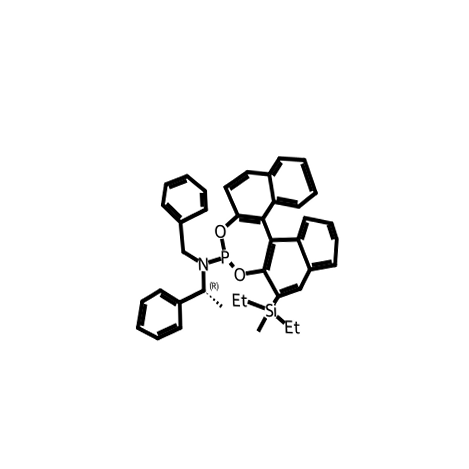 CC[Si](C)(CC)c1cc2ccccc2c2c1op(N(Cc1ccccc1)[C@H](C)c1ccccc1)oc1ccc3ccccc3c12